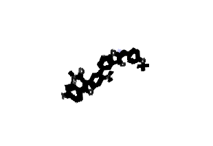 CNC(=O)c1c(-c2ccc(F)cc2)oc2cc(N(C)C)c(-c3ccc4c(c3)C(=O)/C(=C\c3ccc(OC(C)(C)C)cc3)O4)cc12